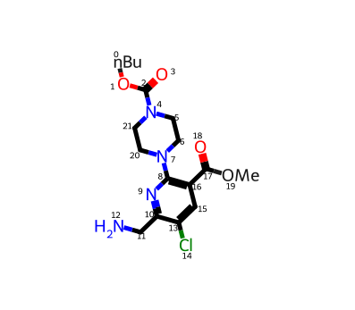 CCCCOC(=O)N1CCN(c2nc(CN)c(Cl)cc2C(=O)OC)CC1